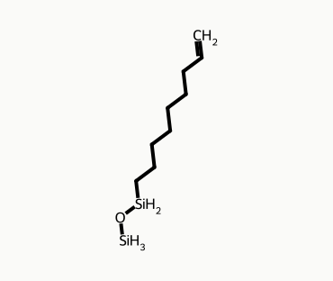 C=CCCCCCCC[SiH2]O[SiH3]